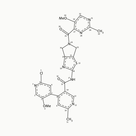 COc1cnc(Cl)cc1-c1cc(C)ncc1C(=O)Nc1nc2c(s1)CN(C(=O)c1nc(C)ncc1OC)C2